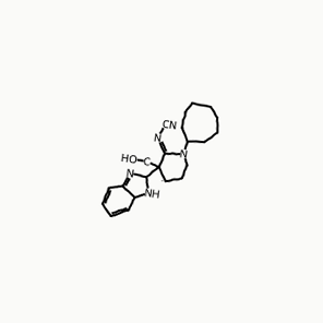 N#CN=C1N(C2CCCCCCC2)CC[CH]C1(CO)C1N=C2C=CC=CC2N1